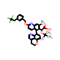 Cc1cc2nc(OCc3cccc(CC(F)(F)F)c3)ccc2c(-c2ccc3c4c(ccnc24)CCO3)c1[C@H](OC(C)(C)C)C(=O)O